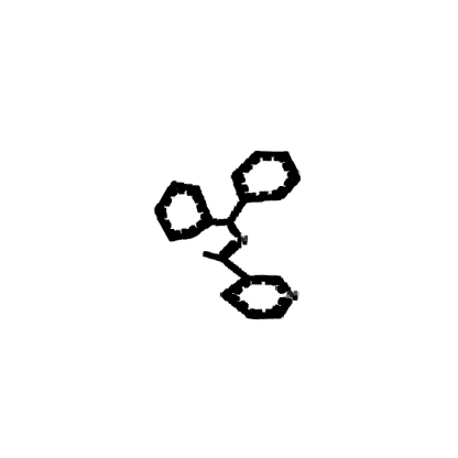 CC(=NC(c1ccccc1)c1ccccc1)c1cccnc1